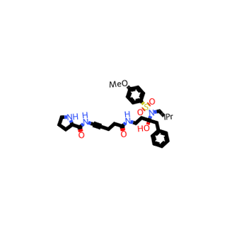 COc1ccc(S(=O)(=O)N(CC(C)C)C(O)(CCNC(=O)CCC#CNC(=O)C2CCCN2)Cc2ccccc2)cc1